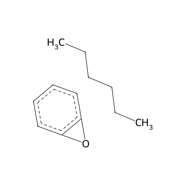 CCCCCC.c1ccc2c(c1)O2